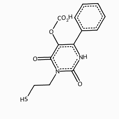 O=C(O)Oc1c(-c2ccccc2)[nH]c(=O)n(CCS)c1=O